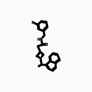 CC(c1cccc2ccccc12)N1CC(CC(=O)NCc2cccc(F)c2)C1